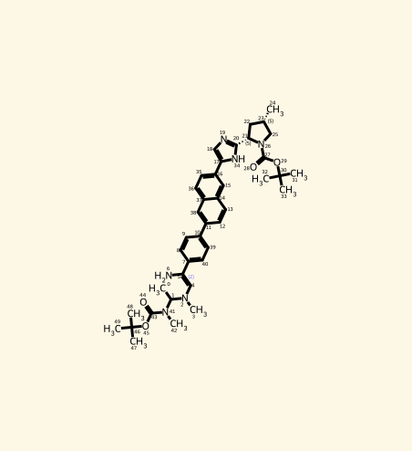 CC(N(C)/C=C(\N)c1ccc(-c2ccc3cc(-c4cnc([C@@H]5C[C@H](C)CN5C(=O)OC(C)(C)C)[nH]4)ccc3c2)cc1)N(C)C(=O)OC(C)(C)C